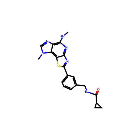 CNc1nc2nc(-c3cccc(CNC(=O)C4CC4)c3)sc2c2c1ncn2C